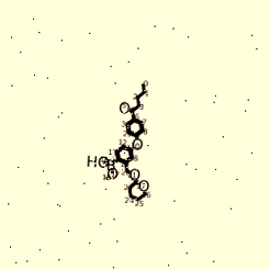 CCCCC(=O)c1ccc(Oc2ccc(B(O)OC)c(COC3CCCCO3)c2)cc1